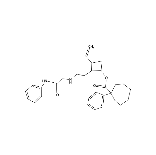 C=CC1C[C@H](OC(=O)C2(c3ccccc3)CCCCCC2)C1CCNCC(=O)Nc1ccccc1